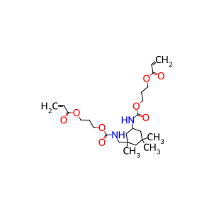 C=CC(=O)OCCCOC(=O)NCC1(C)CC(NC(=O)OCCCOC(=O)C=C)CC(C)(C)C1